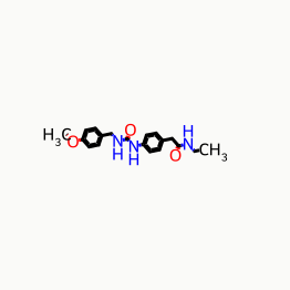 CCNC(=O)Cc1ccc(NC(=O)NCc2ccc(OC)cc2)cc1